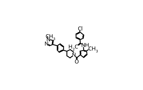 C=C(Nc1cc(C(=O)N2CCC(c3ccc(-c4cnn(C)c4)cc3)CC2)ccc1C)c1ccc(Cl)cc1